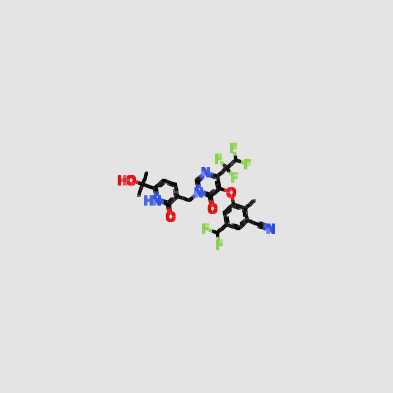 Cc1c(C#N)cc(C(F)F)cc1Oc1c(C(F)(F)C(F)F)ncn(Cc2ccc(C(C)(C)O)[nH]c2=O)c1=O